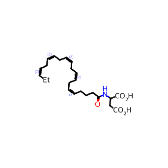 CC/C=C\C/C=C\C/C=C\C/C=C\C/C=C\CCCC(=O)NC(CC(=O)O)C(=O)O